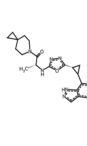 C[C@@H](Nc1nnc([C@@H]2CC2c2cccc3cn[nH]c23)o1)C(=O)N1CCC2(CC1)CC2